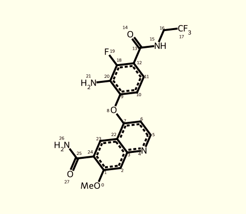 COc1cc2nccc(Oc3ccc(C(=O)NCC(F)(F)F)c(F)c3N)c2cc1C(N)=O